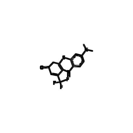 CN(C)c1ccc2c(c1)SC1=C(N2)C(C(F)(F)F)=CC(=O)C1